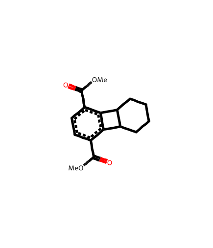 COC(=O)c1ccc(C(=O)OC)c2c1C1CCCCC21